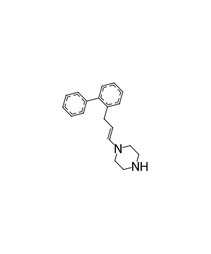 C(=CN1CCNCC1)Cc1ccccc1-c1ccccc1